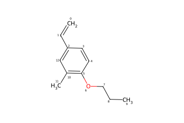 C=[C]c1ccc(OCCC)c(C)c1